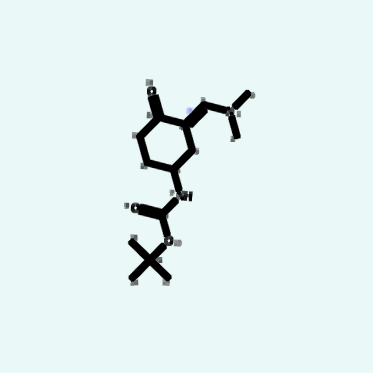 CN(C)/C=C1\CC(NC(=O)OC(C)(C)C)CCC1=O